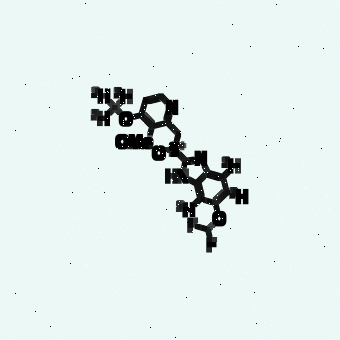 [2H]c1c(OC(F)F)c([2H])c2[nH]c([S+]([O-])Cc3nccc(OC([2H])([2H])[2H])c3OC)nc2c1[2H]